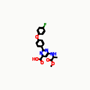 COC(=O)C(C)Nc1cc(C(=O)O)nc(-c2ccc(Oc3ccc(F)cc3)cc2)n1